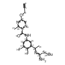 C#CCOc1cnc(C(=O)Nc2cc(F)c(F)c(C(C)/N=C(/N)SC(C)CC)c2)c(C)n1